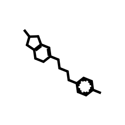 Cc1ccc(CCCCC2=CC3=C(CC2)CC(C)C3)cc1